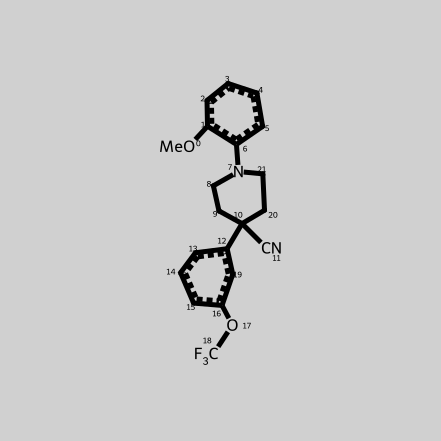 COc1ccccc1N1CCC(C#N)(c2cccc(OC(F)(F)F)c2)CC1